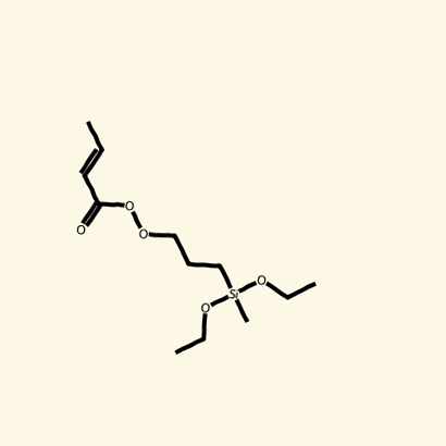 CC=CC(=O)OOCCC[Si](C)(OCC)OCC